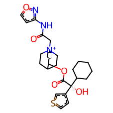 O=C(C[N+]12CCC(CC1)C(OC(=O)[C@](O)(c1ccsc1)C1CCCCC1)C2)Nc1ccon1